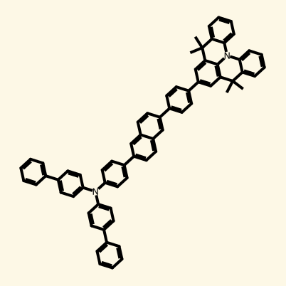 CC1(C)c2ccccc2N2c3ccccc3C(C)(C)c3cc(-c4ccc(-c5ccc6cc(-c7ccc(N(c8ccc(-c9ccccc9)cc8)c8ccc(-c9ccccc9)cc8)cc7)ccc6c5)cc4)cc1c32